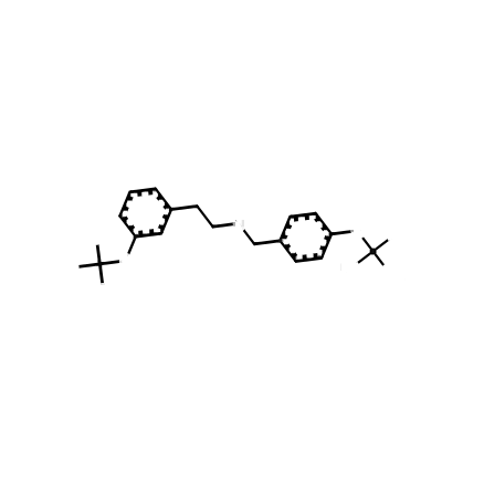 CC(C)(C)Oc1ccc(CNCCc2cccc(OC(F)(F)F)c2)cc1